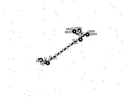 C=C1CCC(N2C(=O)c3cccc(OCC(=O)NCCOCCOCCOCCOCCOCCNC(=O)COc4cccc(C(CCc5ccc(OC)c(OC)c5)OC(=O)[C@@H]5CCCCN5C(=O)Cc5cc(OC)c(OC)c(OC)c5)c4)c3C2=O)C(=O)N1